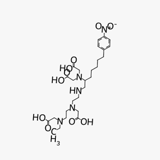 CCN(CCN(CCNCC(CCCCCc1ccc([N+](=O)[O-])cc1)N(CC(=O)O)CC(=O)O)CC(=O)O)CC(=O)O